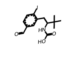 CC(C)(C)C(Cc1cc(C=O)ccc1I)NC(=O)O